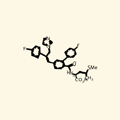 CSC(C)C[C@H](NC(=O)c1ccc(C=C(Cn2ccnc2)c2ccc(F)cc2)cc1-c1ccc(F)cc1)C(=O)O